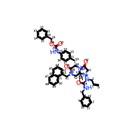 C=CCN(C(=O)NCc1ccccc1)N1CC(=O)N2[C@@H](Cc3ccc(NC(=O)OCc4ccccc4)cc3)C(=O)N(Cc3cccc4ccccc34)C[C@@H]21